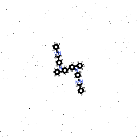 c1ccc(-c2cnc(-c3ccc(-n4c5ccccc5c5ccc(-c6ccc7c8ccccc8n(-c8ccc(-c9cnc(-c%10ccccc%10)nc9)cc8)c7c6)cc54)cc3)nc2)cc1